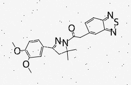 COc1ccc(C2=NN(C(=O)Cc3ccc4nsnc4c3)C(C)(C)C2)cc1OC